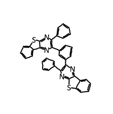 c1ccc(-c2nc3sc4ccccc4c3nc2-c2cccc(-c3nc4c(nc3-c3ccccc3)sc3ccccc34)c2)cc1